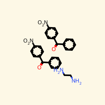 NCCN.O=C(c1ccccc1)c1ccc([N+](=O)[O-])cc1.O=C(c1ccccc1)c1ccc([N+](=O)[O-])cc1